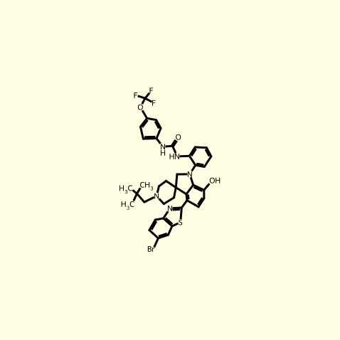 CC(C)(C)CN1CCC2(CC1)CN(c1ccccc1NC(=O)Nc1ccc(OC(F)(F)F)cc1)c1c(O)ccc(-c3nc4ccc(Br)cc4s3)c12